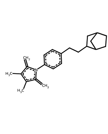 C=c1c(C)c(C)c(=C)n1-c1ccc(CCC2CC3CCC2C3)cc1